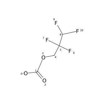 [O]C(=O)OCC(F)(F)C(F)F